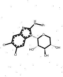 CC(C)Nc1nc2cc(Cl)c(Cl)cc2n1[C@@H]1OC[C@H](O)[C@@H](O)[C@@H]1O